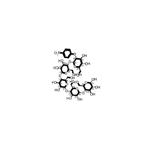 O=[N+]([O-])c1ccc(O[C@H]2[C@@H](O[C@H]3[C@H](O)[C@@H](O)[C@@H](O[C@H]4[C@H](O)[C@@H](O)[C@@H](O[C@H]5[C@H](O)[C@@H](O)[C@@H](O[C@H]6[C@H](O)[C@@H](O)[C@@H](O)O[C@@H]6CO)O[C@@H]5CO)O[C@@H]4CO)O[C@@H]3CO)O[C@H](CO)[C@@H](O)[C@@H]2O)cc1